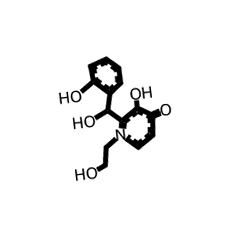 O=c1ccn(CCO)c(C(O)c2ccccc2O)c1O